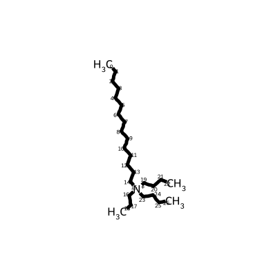 CCCCCCCCCCCCCCC[N+](CCC)(CCCC)CCCC